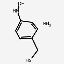 N.ONc1ccc(CS)cc1